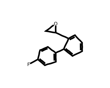 Fc1ccc(-c2ccccc2C2CO2)cc1